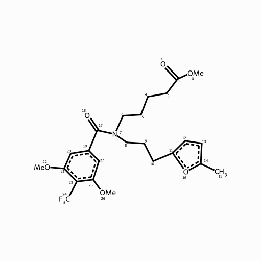 COC(=O)CCCCN(CCCc1ccc(C)o1)C(=O)c1cc(OC)c(C(F)(F)F)c(OC)c1